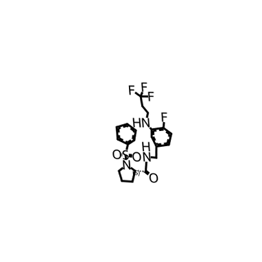 O=C(NCc1ccc(F)c(NCCC(F)(F)F)c1)[C@@H]1CCCN1S(=O)(=O)c1ccccc1